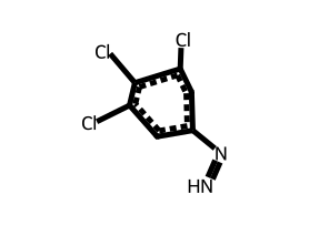 N=Nc1cc(Cl)c(Cl)c(Cl)c1